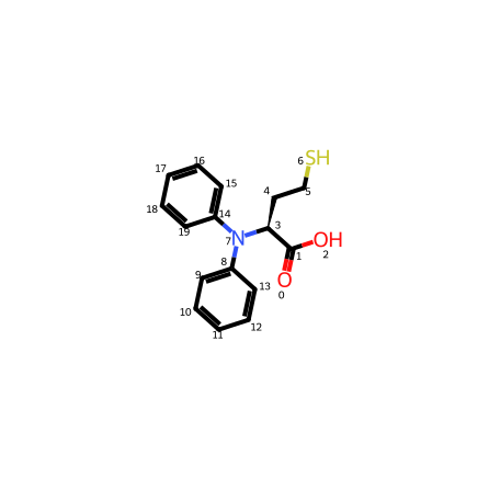 O=C(O)[C@H](CCS)N(c1ccccc1)c1ccccc1